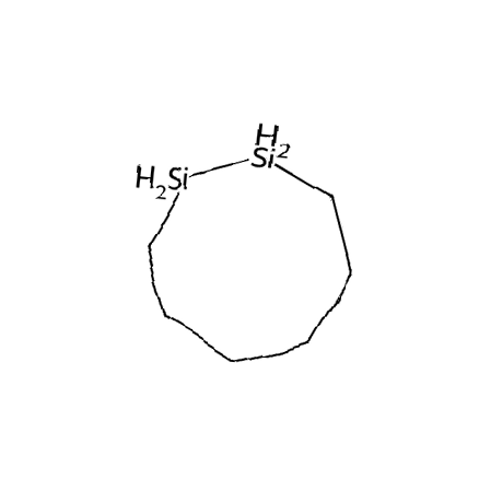 C1CCC[SiH2][SiH2]CC1